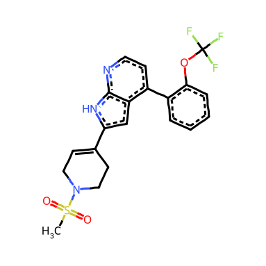 CS(=O)(=O)N1CC=C(c2cc3c(-c4ccccc4OC(F)(F)F)ccnc3[nH]2)CC1